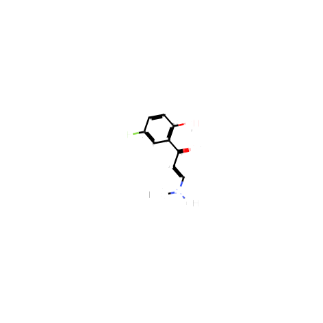 CN(C)C=CC(=O)c1cc(F)ccc1O